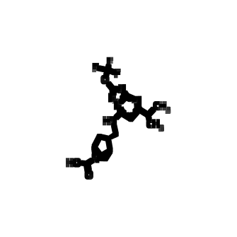 CC(C)c1cc(NC[C@@H]2CC3CC2CN3C(=O)O)n2nc(OC(F)(F)F)nc2n1